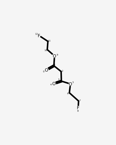 O=C(CC(=O)OCCF)OCCF